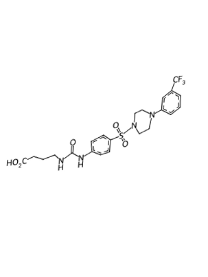 O=C(O)CCCNC(=O)Nc1ccc(S(=O)(=O)N2CCN(c3cccc(C(F)(F)F)c3)CC2)cc1